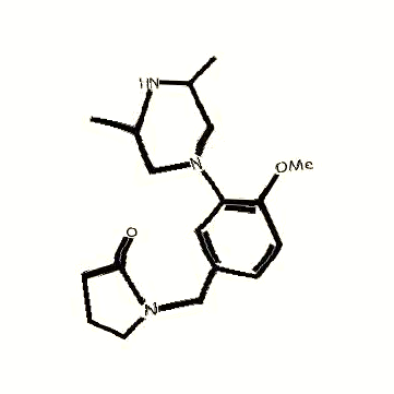 COc1ccc(CN2CCCC2=O)cc1N1CC(C)NC(C)C1